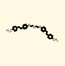 CC1=CCC(CCc2ccc(OCCOCCOc3ccc(CCC4=CCC(C)C=C4)cc3)cc2)C=C1